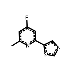 Cc1cc(F)cc(-c2cncs2)n1